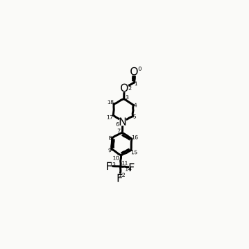 O=COC1CCN(c2ccc(C(F)(F)F)cc2)CC1